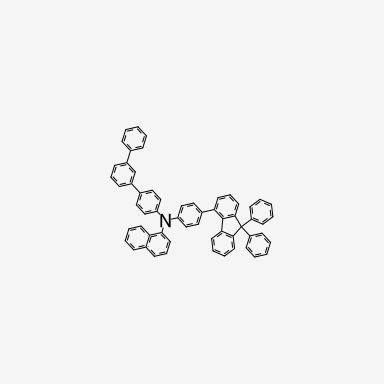 c1ccc(-c2cccc(-c3ccc(N(c4ccc(-c5cccc6c5-c5ccccc5C6(c5ccccc5)c5ccccc5)cc4)c4cccc5ccccc45)cc3)c2)cc1